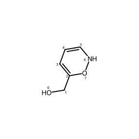 OCC1=CC=CNO1